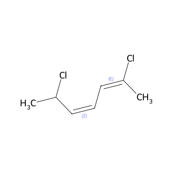 C/C(Cl)=C\C=C/C(C)Cl